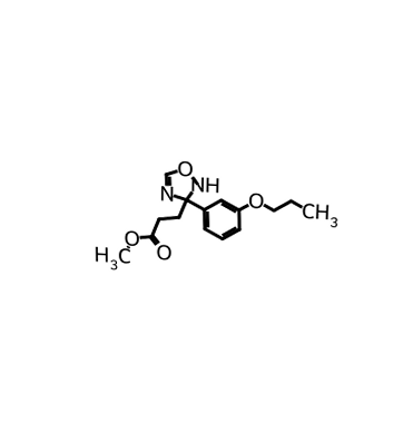 CCCOc1cccc(C2(CCC(=O)OC)N=CON2)c1